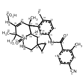 Cc1cc(C#N)cnc1C(=O)Nc1ccc(F)c([C@@]2(C)N=C(NC(=O)O)C(C)(C)[SH]3(=O)NCC4(CC4)C[C@H]23)n1